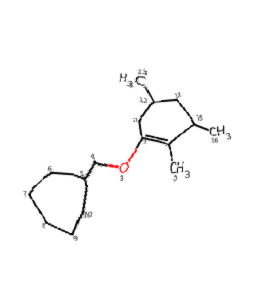 CC1=C(OCC2CCCCC2)CC(C)CC1C